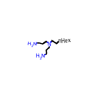 CCCCCCCCN(CCCN)CCCN